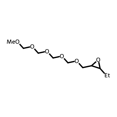 CCC1OC1COCOCOCOCOC